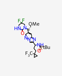 COC[C@H](c1cnn2cc(C(CCC3(C(F)(F)F)CC3)N[S@@+]([O-])C(C)(C)C)nc2c1)N1CC(F)(F)CNC1=O